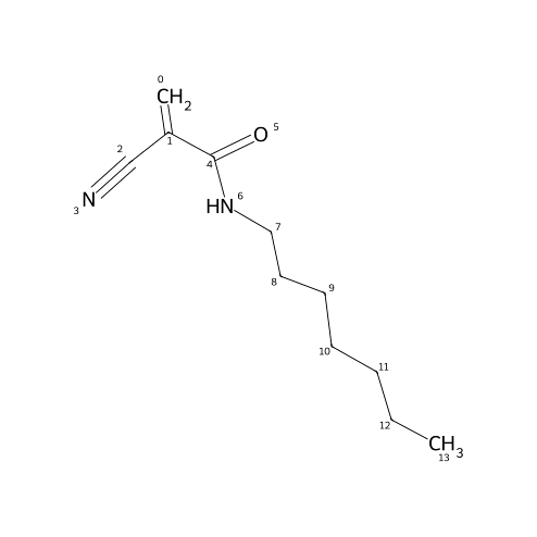 C=C(C#N)C(=O)NCCCCCCC